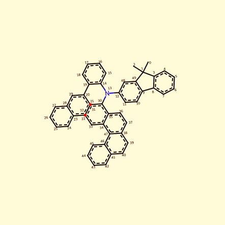 CC1(C)c2ccccc2-c2ccc(N(c3ccccc3-c3ccc4ccccc4c3)c3cccc4c3ccc3ccc5ccccc5c34)cc21